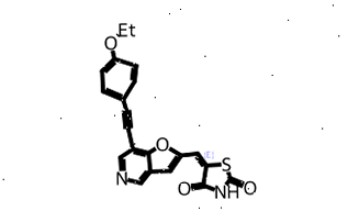 CCOc1ccc(C#Cc2cncc3cc(/C=C4/SC(=O)NC4=O)oc23)cc1